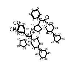 O=C(C(c1ccccc1)C1CCCC1)N1CCC(N2CCCC2)CC1.O=C([C@@H](c1ccc(Cl)c(Cl)c1)C1CCCC1)N1CCC(N2CCCCC2)CC1